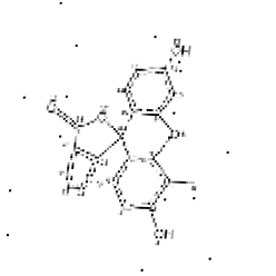 Cc1c(O)ccc2c1Oc1cc(O)ccc1C21OC(=O)c2ccccc21